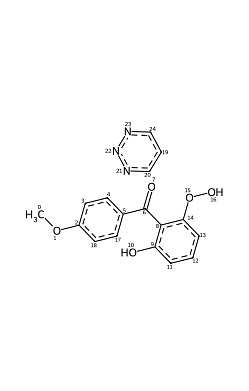 COc1ccc(C(=O)c2c(O)cccc2OO)cc1.c1cnnnc1